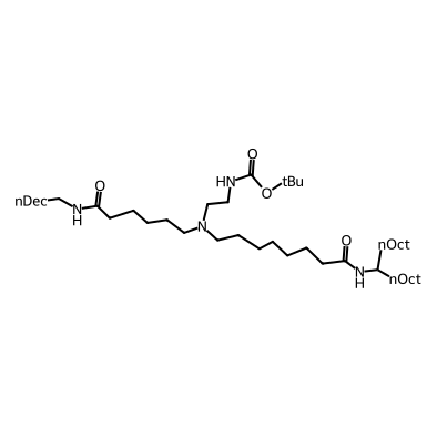 CCCCCCCCCCCNC(=O)CCCCCN(CCCCCCCC(=O)NC(CCCCCCCC)CCCCCCCC)CCNC(=O)OC(C)(C)C